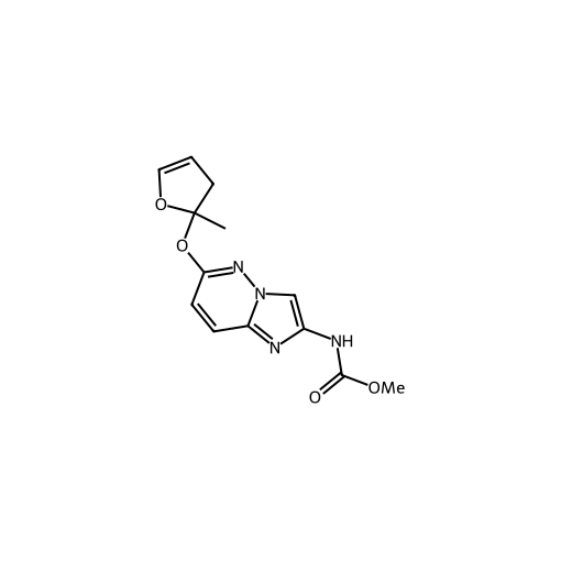 COC(=O)Nc1cn2nc(OC3(C)CC=CO3)ccc2n1